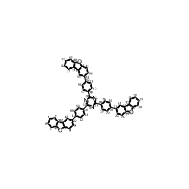 c1ccc2c(c1)oc1ccc(-c3ccc(-c4nc(-c5ccc(-c6ccc7oc8ccccc8c7c6)cc5)nc(-c5ccc(-c6ccc7oc8ccccc8c7c6)cc5)n4)cc3)cc12